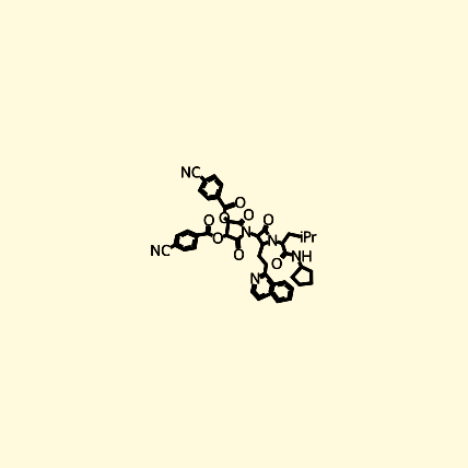 CC(C)CC(C(=O)NC1CCCC1)N1C(=O)C(N2C(=O)C(OC(=O)c3ccc(C#N)cc3)C(OC(=O)c3ccc(C#N)cc3)C2=O)C1CCc1nccc2ccccc12